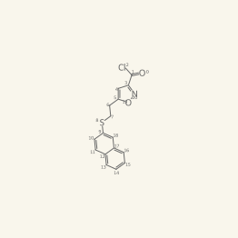 O=C(Cl)c1cc(CCSc2ccc3ccccc3c2)on1